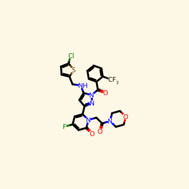 O=C(Cn1c(-c2cc(NCc3ccc(Cl)s3)n(C(=O)c3ccccc3C(F)(F)F)n2)cc(F)cc1=O)N1CCOCC1